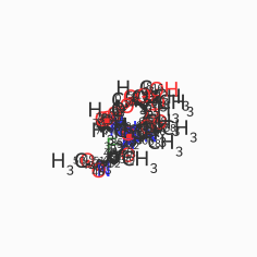 CC[C@H]1OC(=O)[C@H](C)C([C@H]2C[C@@](C)(OC)[C@@H](O)[C@H](C)O2)[C@H](C)[C@@H](O[C@H]2C[C@@H](N(C)CCc3cn([C@H](CF)[C@H](OC)c4ccc(C5=NO[C@H](COC)C5)cc4)nn3)C[C@@H](C)O2)[C@](C)(OC)C[C@@H](C)C(=O)[C@H](C)[C@H]2N(NCC3CCOC3)C(=O)O[C@]12C